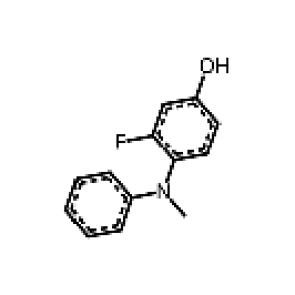 CN(c1ccccc1)c1ccc(O)cc1F